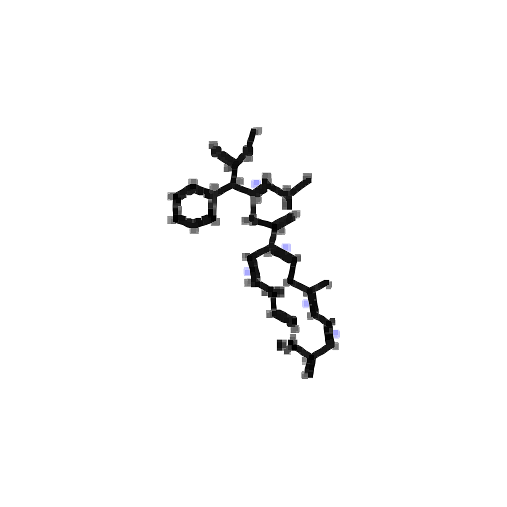 C=C(N)/C=C\C=C(/C)C/C=C(\C=N/NC=O)C(=C)S/C(=N\NC)C(C(=O)OC)c1ccccc1